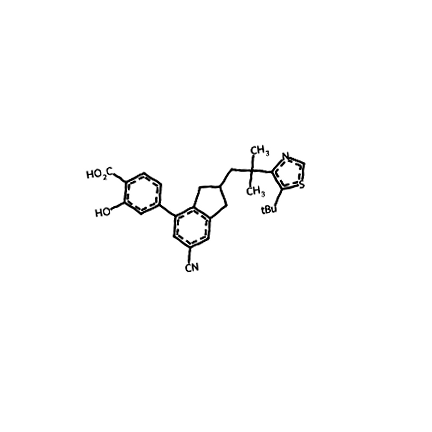 CC(C)(C)c1scnc1C(C)(C)CC1Cc2cc(C#N)cc(-c3ccc(C(=O)O)c(O)c3)c2C1